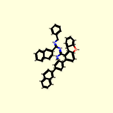 C=N/C(=N\C(=N/Cc1ccccc1)c1ccc2ccccc2c1)c1c(-c2ccc(-c3ccc4ccccc4c3)cc2)ccc2oc3ccccc3c12